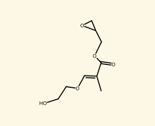 CC(=COCCO)C(=O)OCC1CO1